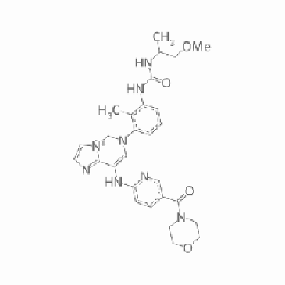 COCC(C)NC(=O)Nc1cccc(N2C=C(Nc3ccc(C(=O)N4CCOCC4)cn3)C3=NC=C[N+]3C2)c1C